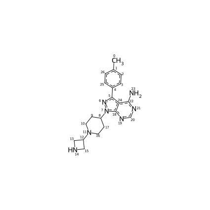 Cc1ccc(-c2nn(C3CCN(C4CNC4)CC3)c3ncnc(N)c23)cc1